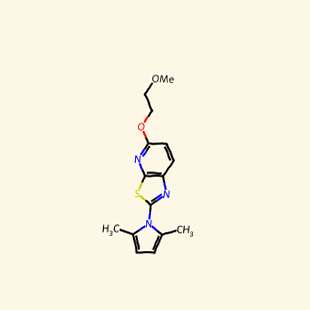 COCCOc1ccc2nc(-n3c(C)ccc3C)sc2n1